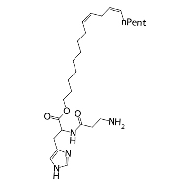 CCCCC/C=C\C/C=C\CCCCCCCCOC(=O)C(Cc1c[nH]cn1)NC(=O)CCN